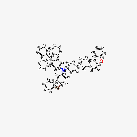 c1ccc([Si](c2ccccc2)(c2ccccc2)c2ccc(N(c3ccc(-c4ccc5c(ccc6oc7ccccc7c65)c4)cc3)c3ccc4sc5ccccc5c4c3)cc2)cc1